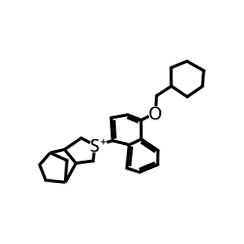 c1ccc2c([S+]3CC4C5CCC(C5)C4C3)ccc(OCC3CCCCC3)c2c1